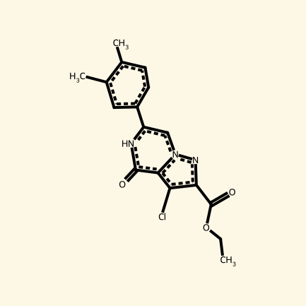 CCOC(=O)c1nn2cc(-c3ccc(C)c(C)c3)[nH]c(=O)c2c1Cl